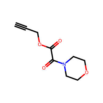 C#CCOC(=O)C(=O)N1CCOCC1